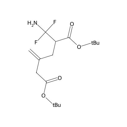 C=C(CC(=O)OC(C)(C)C)CC(C(=O)OC(C)(C)C)C(N)(F)F